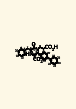 O=C(O)CCNC(=O)[C@H](Cc1ccccc1)NC(Cc1ccc(-c2ccccc2)cc1)C(=O)O